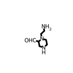 NCCN1CCNCC1C=O